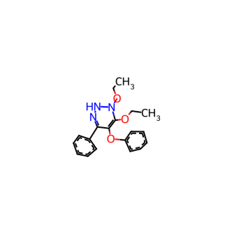 CCOC1=C(Oc2ccccc2)C(c2ccccc2)=NNN1OCC